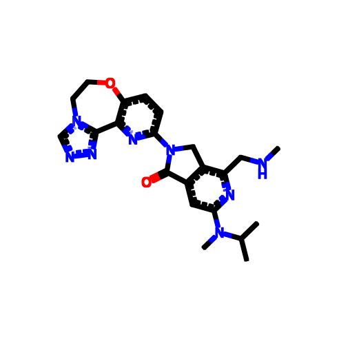 CNCc1nc(N(C)C(C)C)cc2c1CN(c1ccc3c(n1)-c1nncn1CCO3)C2=O